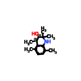 Cc1ccc(C)c2c1NC(C)(C)[C@@H](O)[C@@H]2C